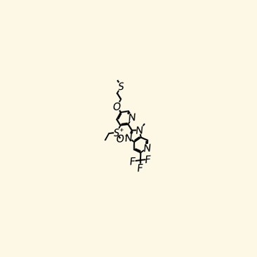 CC[S+]([O-])c1cc(OCCSC)cnc1-c1nc2cc(C(F)(F)F)ncc2n1C